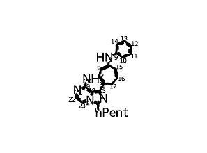 CCCCCc1nc(C2=CC=C(Nc3ccccc3)C=CC2)c2c(N)nccn12